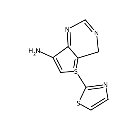 NC1=CS(c2nccs2)=C2CN=CN=C12